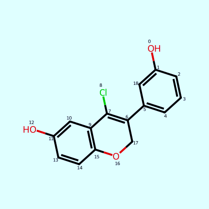 Oc1cccc(C2=C(Cl)c3cc(O)ccc3OC2)c1